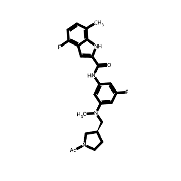 CC(=O)N1CC[C@H](CN(C)c2cc(F)cc(NC(=O)c3cc4c(F)ccc(C)c4[nH]3)c2)C1